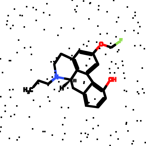 CCCN1CCc2cc(OCF)cc3c2[C@H]1Cc1cccc(O)c1-3